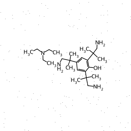 CC(C)(CN)c1cc(C(C)(C)CN)c(O)c(C(C)(C)CN)c1.CCN(CC)CC